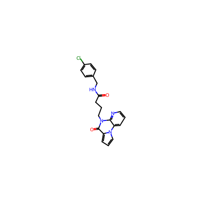 O=C(CCCn1c(=O)c2cccn2c2cccnc21)NCc1ccc(Cl)cc1